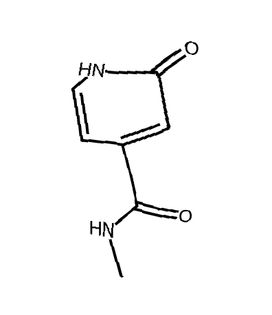 CNC(=O)c1cc[nH]c(=O)c1